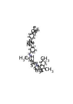 Cc1ccc(C(C)C)c(N2C(=O)CS/C2=N\C(=S)NCC(C)/C=C/c2cccc(-c3ncn(-c4ccc(OC(F)(F)F)cc4)n3)c2)c1